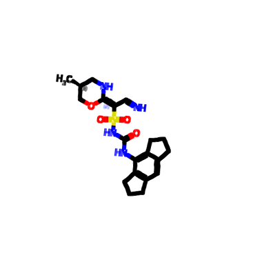 C[C@H]1CN/C(=C(\C=N)S(=O)(=O)NC(=O)Nc2c3c(cc4c2CCC4)CCC3)OC1